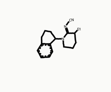 CCC1[CH]CCN(C2CCCc3ccccc32)C1=NC#N